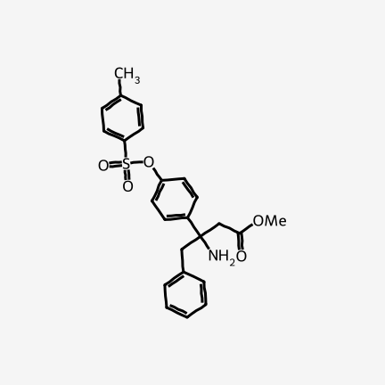 COC(=O)CC(N)(Cc1ccccc1)c1ccc(OS(=O)(=O)c2ccc(C)cc2)cc1